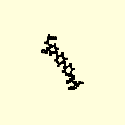 CCCCCCCCCOc1ccc(-c2ccc([C@H]3CC[C@H](OC(=O)[C@@H](F)CCCC)CC3)cc2)cc1Cl